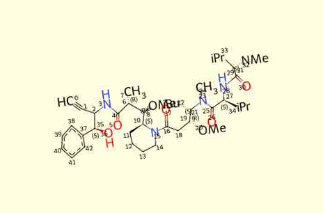 C#CC(NC(=O)[C@H](C)[C@@H](OC)[C@@H]1CCCCN1C(=O)C[C@@H](OC)[C@H](C(C)CC)N(C)C(=O)[C@@H](NC(=O)[C@@H](NC)C(C)C)C(C)C)[C@@H](O)c1ccccc1